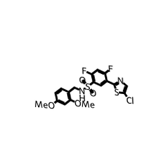 COc1ccc(CNS(=O)(=O)c2cc(-c3ncc(Cl)s3)c(F)cc2F)c(OC)c1